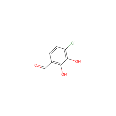 O=Cc1ccc(Cl)c(O)c1O